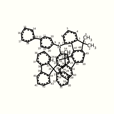 CC1(C)c2cccc(N(c3ccc(-c4ccccc4)cc3)c3cccc(C4(c5ccccc5)c5ccccc5-c5ccccc54)c3)c2-c2c1ccc1c2C(C)(C)c2ccccc2-1